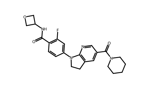 O=C(NC1COC1)c1ccc(N2CCc3cc(C(=O)N4CCCCC4)cnc32)cc1F